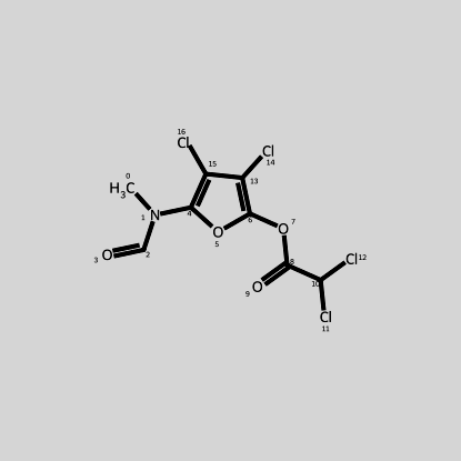 CN(C=O)c1oc(OC(=O)C(Cl)Cl)c(Cl)c1Cl